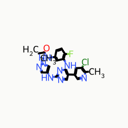 C=CC(=O)Nc1ccc(F)c(Nc2nc(Nc3cnn(C)c3)ncc2-c2cnc(C)c(Cl)c2)c1